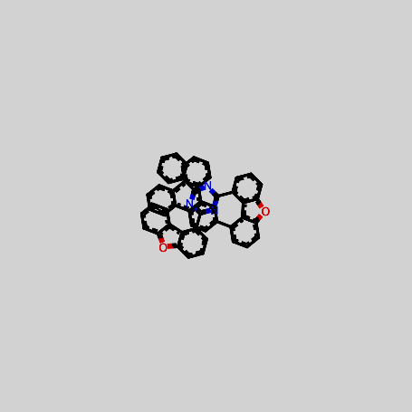 c1ccc(-c2nc(-c3cccc4oc5ccccc5c34)nc(-c3cccc4oc5cccc(-c6ccc7c8ccccc8c8ccccc8c7c6)c5c34)n2)cc1